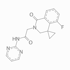 O=C(CN1CC2(CC2)c2c(F)cccc2C1=O)Nc1ncccn1